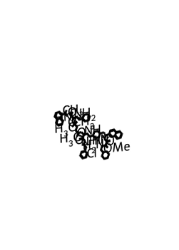 COC(C(=O)N[C@@H](CC1CCC(C[C@@H](N)C(OC(C)CCC(C)(C)OC(C(=O)NC(C)c2cccc3ccccc23)[C@H](N)CC2CCCCC2)C(=O)NCCc2ccccc2Cl)CC1)c1ccc2ccccc2c1)[C@H](N)CC1CCCCC1